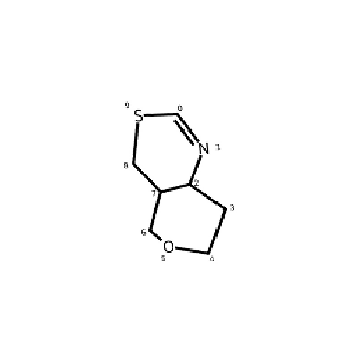 C1=NC2CCOCC2CS1